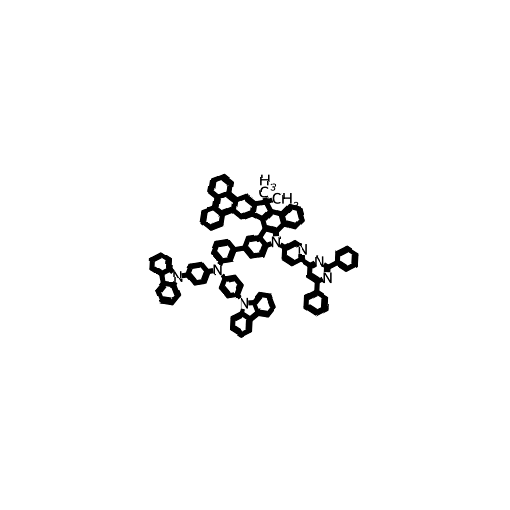 CC1(C)c2cc3c4ccccc4c4ccccc4c3cc2-c2c1c1ccccc1c1c2c2cc(-c3cccc(N(c4ccc(-n5c6ccccc6c6ccccc65)cc4)c4ccc(-n5c6ccccc6c6ccccc65)cc4)c3)ccc2n1-c1ccc(-c2cc(-c3ccccc3)nc(-c3ccccc3)n2)nc1